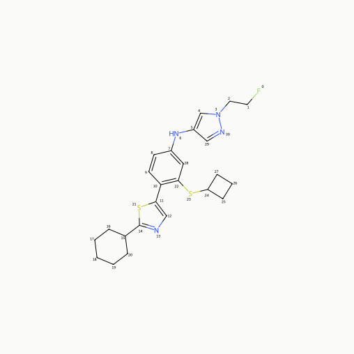 FCCn1cc(Nc2ccc(-c3cnc(C4CCCCC4)s3)c(SC3CCC3)c2)cn1